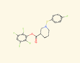 O=C(Oc1c(F)c(F)cc(F)c1F)C1CCCN(Sc2ccc(F)cc2)C1